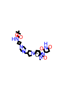 Cn1c(=O)n(C2CCC(=O)NC2=O)c2ccc(N3CCC(CN4CCN(C5CC(NC(=O)OC(C)(C)C)C5)CC4)CC3)cc21